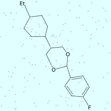 CCC1CCC(C2COC(c3ccc(F)cc3)OC2)CC1